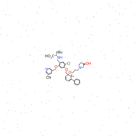 CCCCC(NCc1cc(Cl)c(OCC2(OCCCN3CC[C@@H](O)C3)C=CC=C(c3ccccc3)C2(C)C)cc1OCc1cncc(C#N)c1)C(=O)O